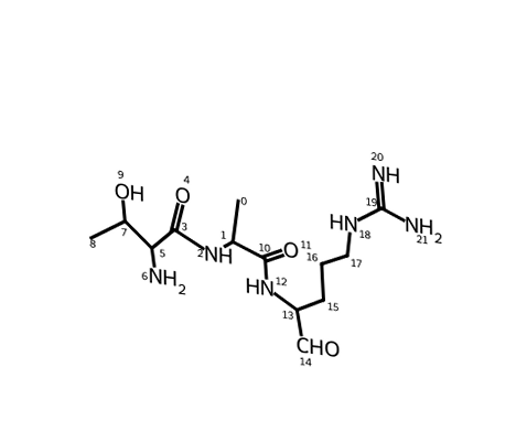 CC(NC(=O)C(N)C(C)O)C(=O)NC(C=O)CCCNC(=N)N